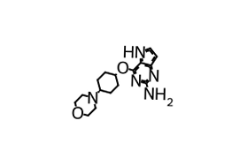 Nc1nc(O[C@H]2CC[C@H](N3CCOCC3)CC2)c2[nH]ccc2n1